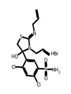 Br.C=CCN=C1SCC(O)(c2cc(S(N)(=O)=O)c(Cl)cc2Cl)N1CC=C